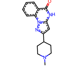 CN1CCC(c2cc3[nH]c(=O)c4ccccc4n3n2)CC1